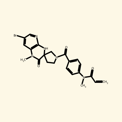 C=CC(=O)N(C)c1ccc(C(=O)N2CCC3(C2)Nc2ncc(Br)cc2N(C)C3=O)cc1